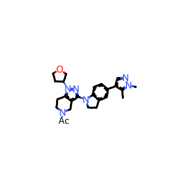 CC(=O)N1CCc2c(c(N3CCc4cc(-c5cnn(C)c5C)ccc43)nn2[C@H]2CCOC2)C1